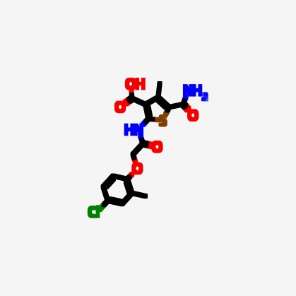 Cc1cc(Cl)ccc1OCC(=O)Nc1sc(C(N)=O)c(C)c1C(=O)O